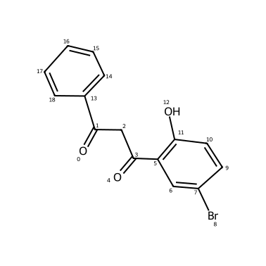 O=C(CC(=O)c1cc(Br)ccc1O)c1ccccc1